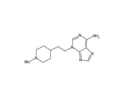 CC(C)(C)N1CCC(CCn2cnc(N)c3ncnc2-3)CC1